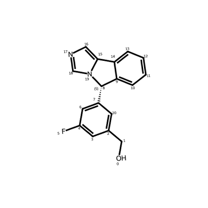 OCc1cc(F)cc([C@H]2c3ccccc3-c3cncn32)c1